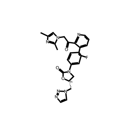 Cc1cn(CC(=O)c2ncccc2-c2ccc(N3C[C@H](Cn4ccnn4)OC3=O)cc2F)c(C)n1